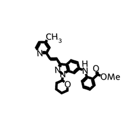 COC(=O)c1ccccc1Nc1ccc2c(C=Cc3cc(C)ccn3)nn(C3CCCCO3)c2c1